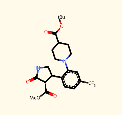 COC(=O)[C@H]1C(=O)NCC1c1ccc(C(F)(F)F)cc1N1CCC(C(=O)OC(C)(C)C)CC1